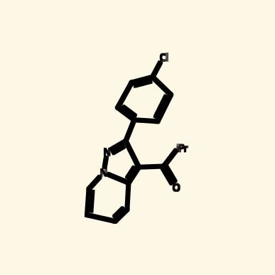 CC(C)C(=O)c1c(-c2ccc(Cl)cc2)nn2ccccc12